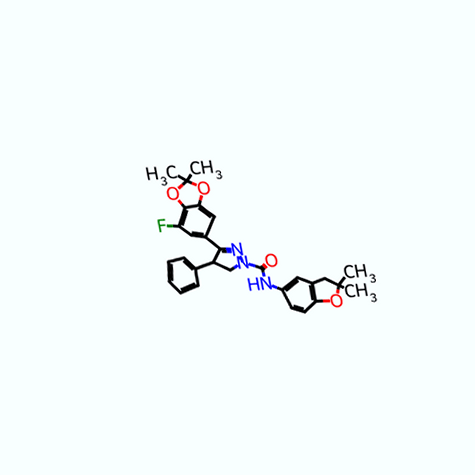 CC1(C)Cc2cc(NC(=O)N3CC(c4ccccc4)C(c4cc(F)c5c(c4)OC(C)(C)O5)=N3)ccc2O1